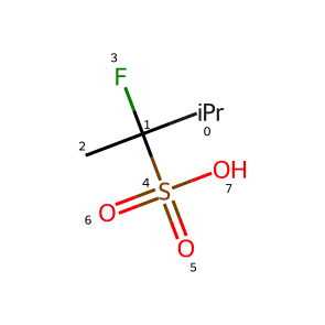 CC(C)C(C)(F)S(=O)(=O)O